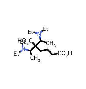 CCN(CC)C(C)C(CCCC(=O)O)(C(=O)O)C(C)N(CC)CC